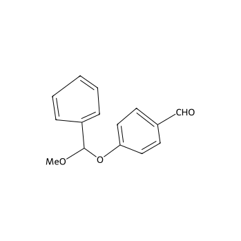 COC(Oc1ccc(C=O)cc1)c1ccccc1